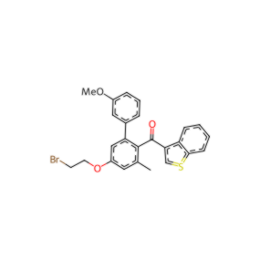 COc1cccc(-c2cc(OCCBr)cc(C)c2C(=O)c2csc3ccccc23)c1